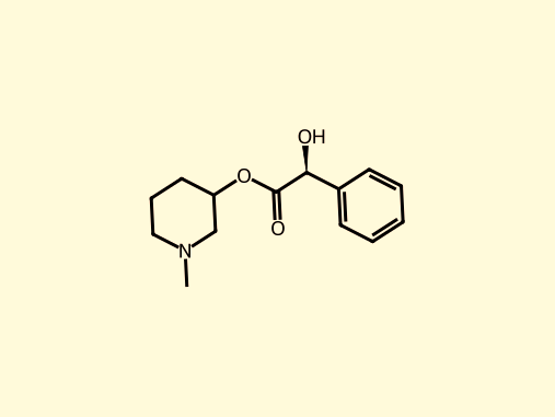 CN1CCCC(OC(=O)[C@@H](O)c2ccccc2)C1